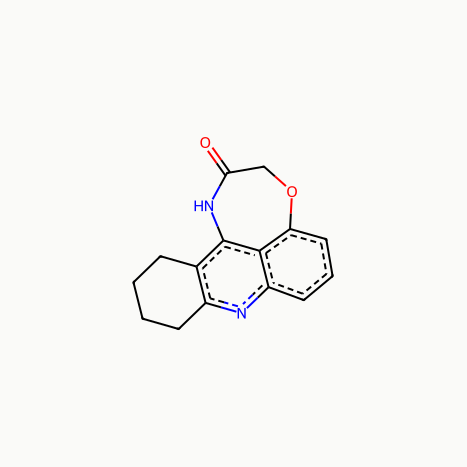 O=C1COc2cccc3nc4c(c(c23)N1)CCCC4